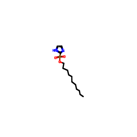 CCCCCCCCCCCOS(=O)(=O)c1ncc[nH]1